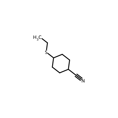 CCSC1CCC(C#N)CC1